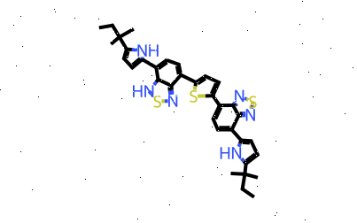 CCC(C)(C)c1ccc(C2=CC=C(c3ccc(-c4ccc(-c5ccc(C(C)(C)CC)[nH]5)c5nsnc45)s3)C3=NSNC23)[nH]1